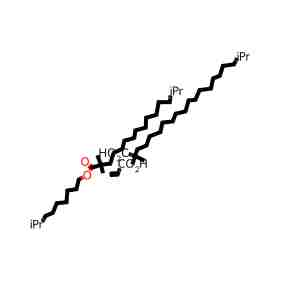 C=CC(=O)O.CC(C)CCCCCCCCCCCC(C)(C)C(=O)OCCCCCCCC(C)C.CC(C)CCCCCCCCCCCCCCCCC(C)(C)C(=O)O